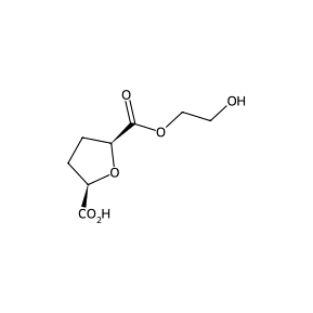 O=C(OCCO)[C@@H]1CC[C@H](C(=O)O)O1